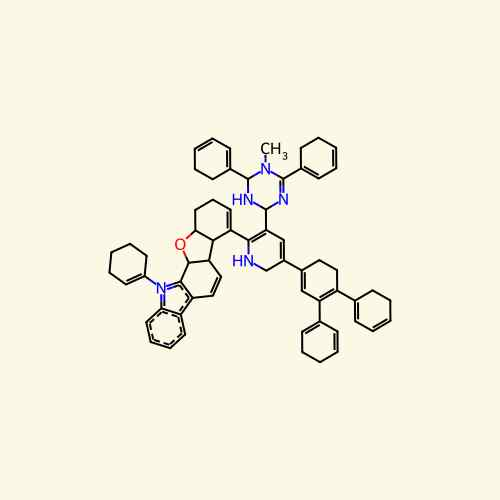 CN1C(C2=CC=CCC2)=NC(C2=C(C3=CCCC4OC5c6c(c7ccccc7n6C6=CCCCC6)C=CC5C34)NCC(C3=CC(C4=CCCC=C4)=C(C4=CC=CCC4)CC3)=C2)NC1C1=CC=CCC1